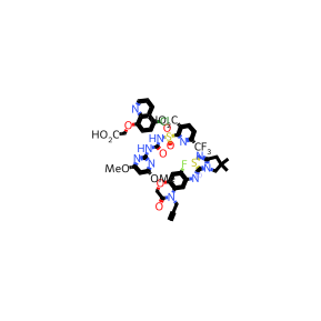 C#CCN1C(=O)COc2cc(F)c(/N=c3\snc4n3CC(C)(C)C4)cc21.COc1cc(OC)nc(NC(=O)NS(=O)(=O)c2nc(C(F)(F)F)ccc2C(=O)O)n1.O=C(O)COc1ccc(Cl)c2cccnc12